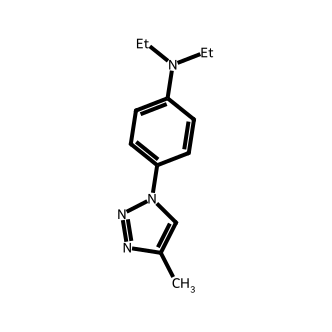 CCN(CC)c1ccc(-n2cc(C)nn2)cc1